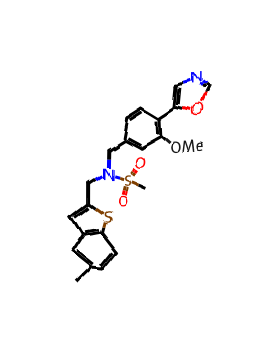 COc1cc(CN(Cc2cc3cc(C)ccc3s2)S(C)(=O)=O)ccc1-c1cnco1